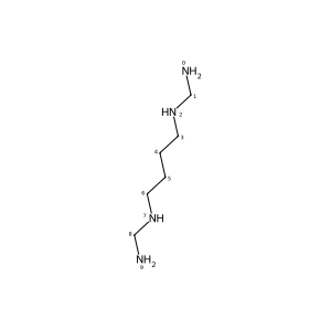 NCNCCCCNCN